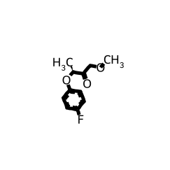 COCC(=O)[C@@H](C)Oc1ccc(F)cc1